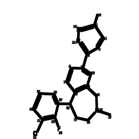 Cc1ccc(-c2ccc3c(c2)CN(C)CCC3c2cccc(Cl)c2F)nn1